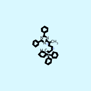 C=C(/C=C\C=C(/C)c1nc(-c2ccccc2)nc(-c2ccccc2)n1)[Si](c1ccccc1)(c1ccccc1)c1ccccc1